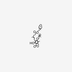 C/C(=C\Cc1c(O)c2c(c(C)c1OCP(C)(C)=O)COC2=O)CCC(=O)OCCN1CCOCC1